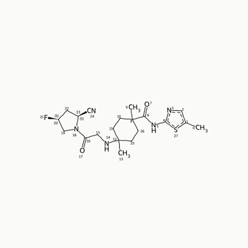 Cc1cnc(NC(=O)C2(C)CCC(C)(NCC(=O)N3C[C@@H](F)C[C@H]3C#N)CC2)s1